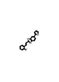 Fc1ccccc1/C=C/c1nc2ccc(-c3ccco3)cc2o1